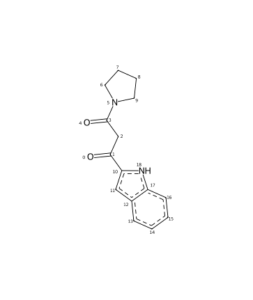 O=C(CC(=O)N1CCCC1)c1cc2ccccc2[nH]1